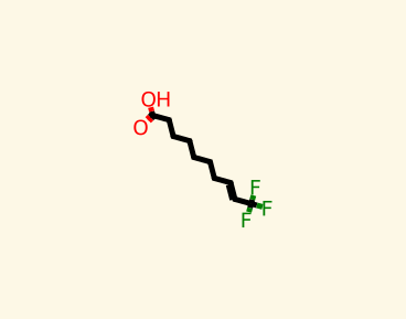 O=C(O)CCCCCC/C=C/C(F)(F)F